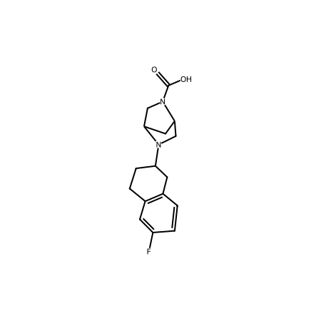 O=C(O)N1CC2CC1CN2C1CCc2cc(F)ccc2C1